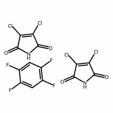 Fc1cc(F)c(F)cc1F.O=C1NC(=O)C(Cl)=C1Cl.O=C1NC(=O)C(Cl)=C1Cl